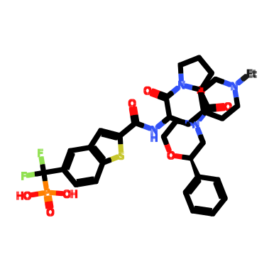 CCN1CCC(CC(NC(=O)c2cc3cc(C(F)(F)P(=O)(O)O)ccc3s2)C(=O)N2CCC[C@H]2C(=O)N2CCO[C@H](c3ccccc3)C2)CC1